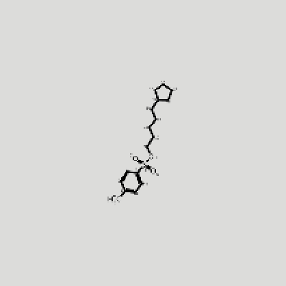 Cc1ccc(S(=O)(=O)OCCCCCC2CCCC2)cc1